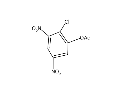 CC(=O)Oc1cc([N+](=O)[O-])cc([N+](=O)[O-])c1Cl